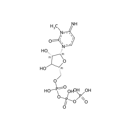 Cn1c(=N)ccn([C@@H]2O[C@H](COP(=O)(O)OP(=O)(O)OP(=O)(O)O)C(O)[C@@H]2O)c1=O